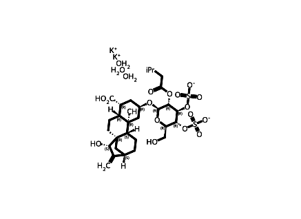 C=C1[C@H]2CC[C@H]3[C@]4(C)C[C@H](O[C@@H]5O[C@H](CO)[C@@H](OS(=O)(=O)[O-])[C@H](OS(=O)(=O)[O-])[C@H]5OC(=O)CC(C)C)C[C@@H](C(=O)O)[C@H]4CC[C@]3(C2)[C@H]1O.O.O.O.[K+].[K+]